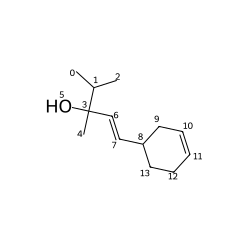 CC(C)C(C)(O)C=CC1CC=CCC1